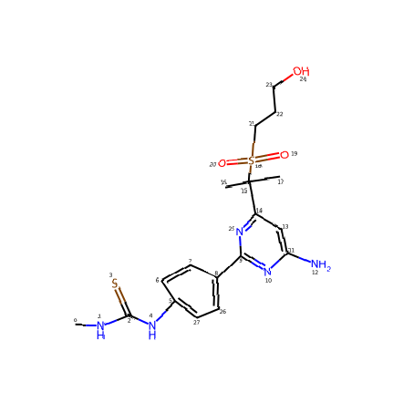 CNC(=S)Nc1ccc(-c2nc(N)cc(C(C)(C)S(=O)(=O)CCCO)n2)cc1